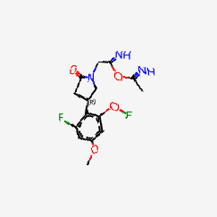 COc1cc(F)c([C@H]2CC(=O)N(CC(=N)OC(C)=N)C2)c(OF)c1